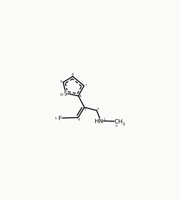 CNC/C(=C/F)c1cccs1